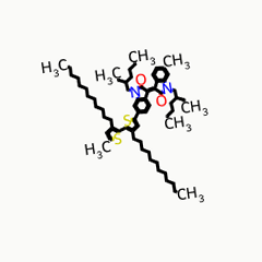 CCCCCCCCCCCCc1cc(C)sc1-c1sc(-c2ccc3c(c2)N(CC(CC)CCCC)C(=O)/C3=C2/C(=O)N(CC(CC)CCCC)c3cc(C)ccc32)cc1CCCCCCCCCCCC